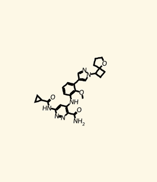 COc1c(Nc2cc(NC(=O)C3CC3)nnc2C(N)=O)cccc1-c1cnn(C2CCC23CCCO3)c1